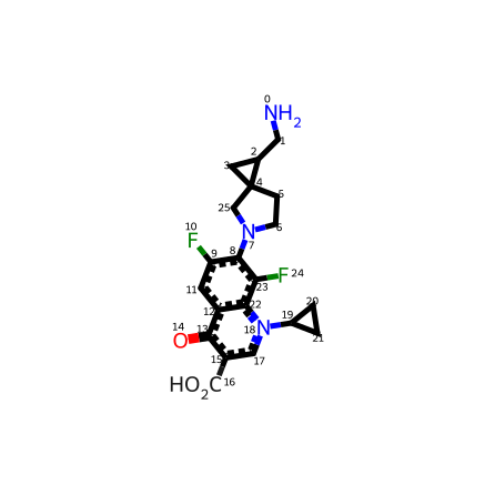 NCC1CC12CCN(c1c(F)cc3c(=O)c(C(=O)O)cn(C4CC4)c3c1F)C2